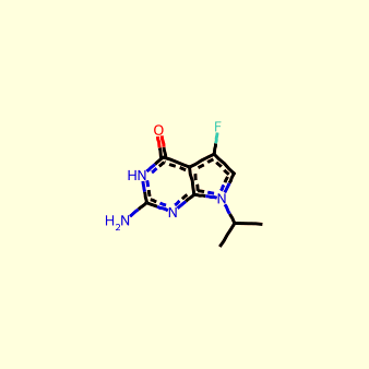 CC(C)n1cc(F)c2c(=O)[nH]c(N)nc21